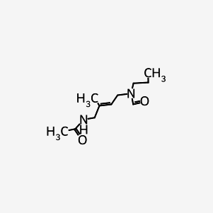 CCCN(C=O)C/C=C(\C)CNC(C)=O